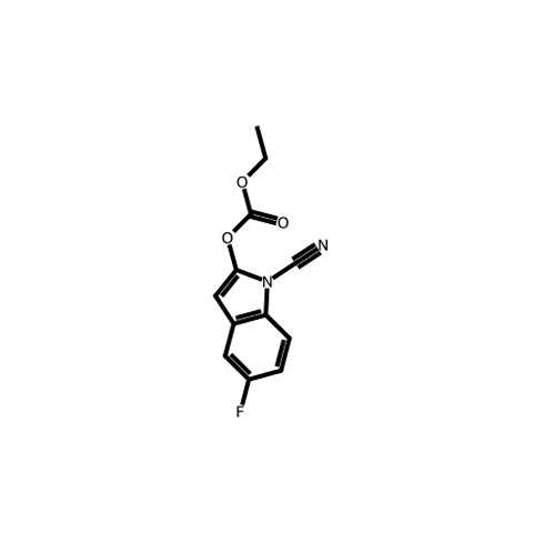 CCOC(=O)Oc1cc2cc(F)ccc2n1C#N